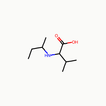 CCC(C)NC(C(=O)O)C(C)C